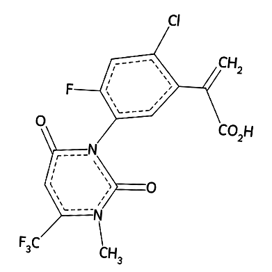 C=C(C(=O)O)c1cc(-n2c(=O)cc(C(F)(F)F)n(C)c2=O)c(F)cc1Cl